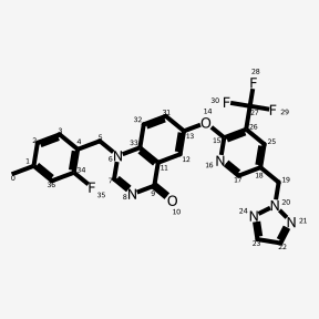 Cc1ccc(Cn2cnc(=O)c3cc(Oc4ncc(Cn5nccn5)cc4C(F)(F)F)ccc32)c(F)c1